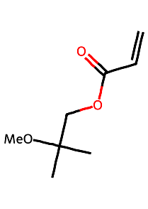 C=CC(=O)OCC(C)(C)OC